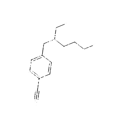 CCCCC(CC)Cc1c[c]c(C#N)cc1